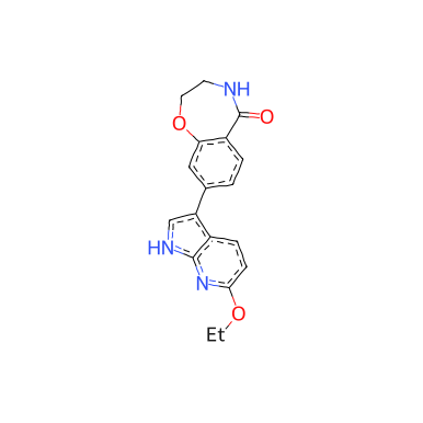 CCOc1ccc2c(-c3ccc4c(c3)OCCNC4=O)c[nH]c2n1